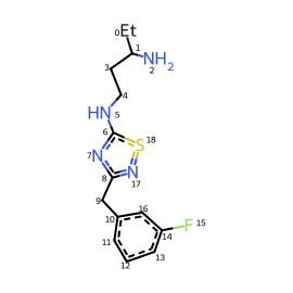 CCC(N)CCNc1nc(Cc2cccc(F)c2)ns1